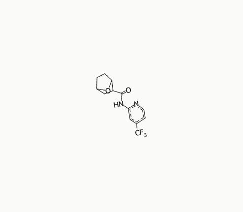 O=C(Nc1cc(C(F)(F)F)ccn1)C1CC2CCC1O2